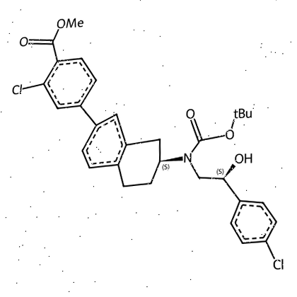 COC(=O)c1ccc(-c2ccc3c(c2)C[C@@H](N(C[C@@H](O)c2ccc(Cl)cc2)C(=O)OC(C)(C)C)CC3)cc1Cl